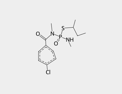 CCC(C)SP(=O)(NC)N(C)C(=O)c1ccc(Cl)cc1